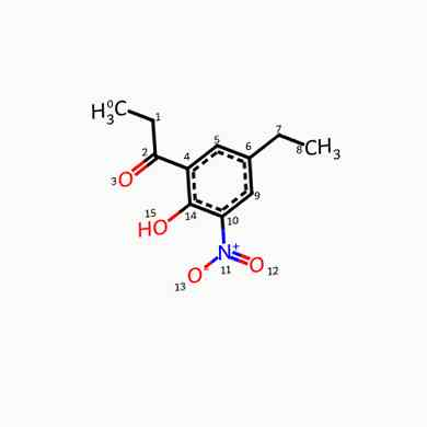 CCC(=O)c1cc(CC)cc([N+](=O)[O-])c1O